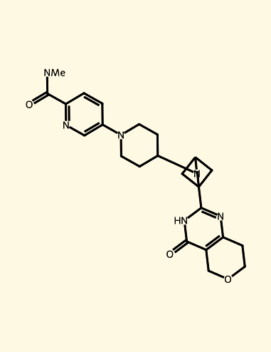 CNC(=O)c1ccc(N2CCC(N3CC4(c5nc6c(c(=O)[nH]5)COCC6)CC3C4)CC2)cn1